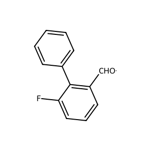 O=[C]c1cccc(F)c1-c1ccccc1